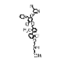 Cc1c(COc2cc(OCc3cncc(C#N)c3)c(CN3CCCCC3)cc2Cl)cccc1-c1cccc(OCCCNCCCO)c1Cl